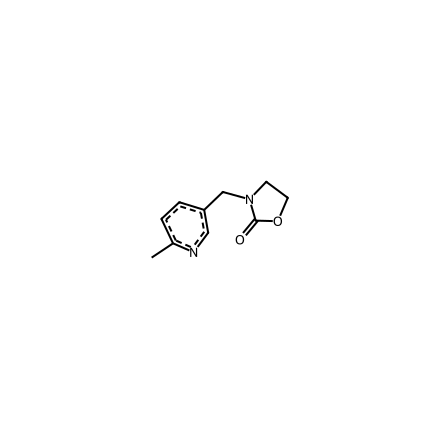 Cc1ccc(CN2CCOC2=O)cn1